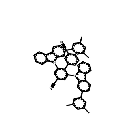 Cc1cc(C)cc(-c2ccc3c4ccccc4n(-c4cc(C#N)cc(-n5c6ccccc6c6ccc(-c7cc(C)cc(C)c7)cc65)c4-c4cccc(C#N)c4)c3c2)c1